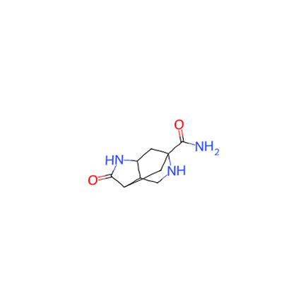 NC(=O)C12CC3NC(=O)C(C1)C3CN2